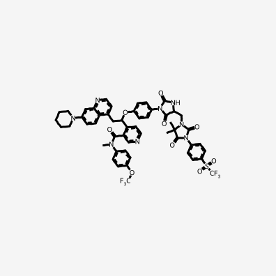 CN(C(=O)c1cnccc1C(Cc1ccnc2cc(N3CCCCC3)ccc12)Oc1ccc(N2C(=O)NC(CN3C(=O)N(c4ccc(S(=O)(=O)C(F)(F)F)cc4)C(=O)C3(C)C)C2=O)cc1)c1ccc(OC(F)(F)F)cc1